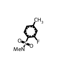 CNS(=O)(=O)c1ccc(C)cc1F